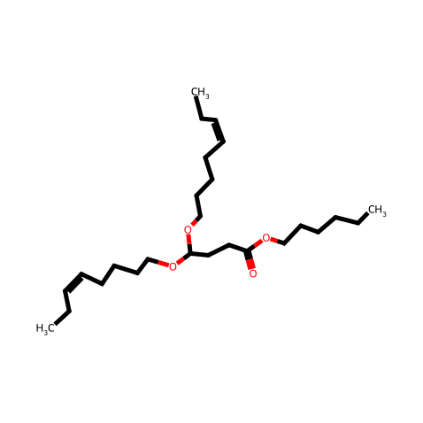 CC/C=C\CCCCOC(CCC(=O)O[CH]CCCCC)OCCCC/C=C\CC